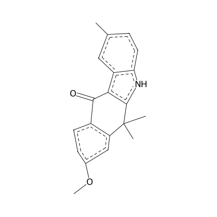 COc1ccc2c(c1)C(C)(C)c1[nH]c3ccc(C)cc3c1C2=O